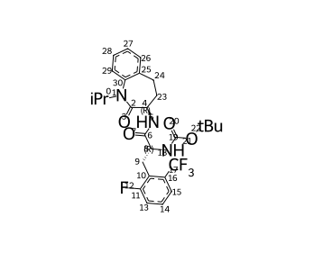 CC(C)N1C(=O)[C@H](NC(=O)[C@@H](Cc2c(F)cccc2C(F)(F)F)NC(=O)OC(C)(C)C)CCc2ccccc21